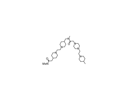 CNC(=O)CC1CCN(CCN2CCC(CN(C)C(=O)CN3CCN(CCN4CCC(C)CC4)CC3)CC2)CC1